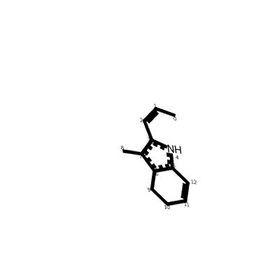 C/C=C\c1[nH]c2c(c1C)CCC=C2